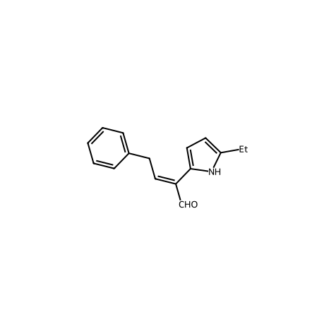 CCc1ccc(/C(C=O)=C\Cc2ccccc2)[nH]1